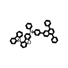 c1ccc(-c2ccc(-c3ccccc3)c3cc(-c4ccc(N(c5ccccc5)c5ccc6c(c5)oc5cccc(-n7c8ccccc8c8ccccc87)c56)cc4)ccc23)cc1